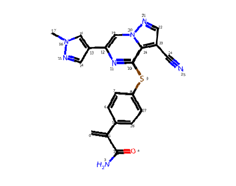 C=C(C(N)=O)c1ccc(Sc2nc(-c3cnn(C)c3)cn3ncc(C#N)c23)cc1